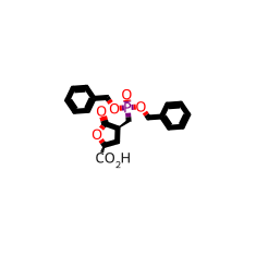 O=C1O[C@H](C(=O)O)C[C@@H]1CP(=O)(OCc1ccccc1)OCc1ccccc1